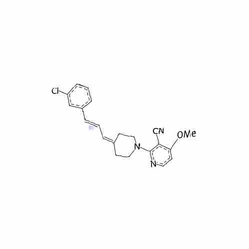 COc1ccnc(N2CCC(=C/C=C/c3cccc(Cl)c3)CC2)c1C#N